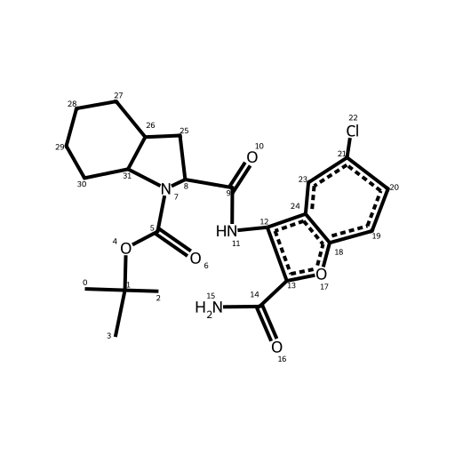 CC(C)(C)OC(=O)N1C(C(=O)Nc2c(C(N)=O)oc3ccc(Cl)cc23)CC2CCCCC21